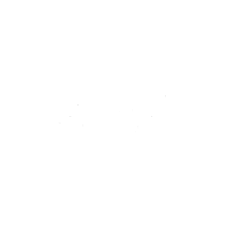 C=C=CC(=C)C(=O)OC1CCC(OC(=O)C(=C)C)CC1